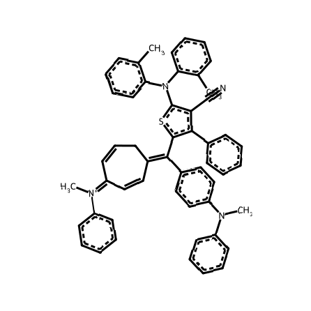 Cc1ccccc1N(c1ccccc1C)c1sc(/C(=C2C=C/C(=[N+](/C)c3ccccc3)C=CC/2)c2ccc(N(C)c3ccccc3)cc2)c(-c2ccccc2)c1C#N